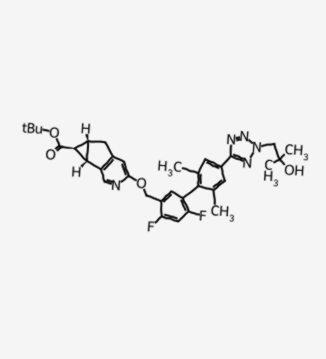 Cc1cc(-c2nnn(CC(C)(C)O)n2)cc(C)c1-c1cc(COc2cc3c(cn2)[C@H]2[C@@H](C3)[C@@H]2C(=O)OC(C)(C)C)c(F)cc1F